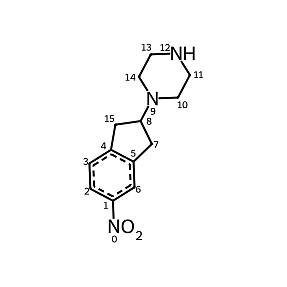 O=[N+]([O-])c1ccc2c(c1)CC(N1CCNCC1)C2